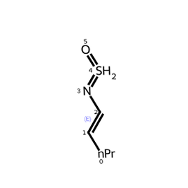 CCC/C=C/N=[SH2]=O